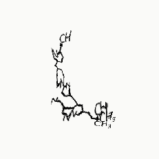 C#Cc1ccc(CC2CCN(c3ccc(-c4cc(CCC(C)(C)C)cn5ncc(C#N)c45)cn3)CC2)cn1